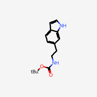 CC(C)(C)OC(=O)NCCc1ccc2cc[nH]c2c1